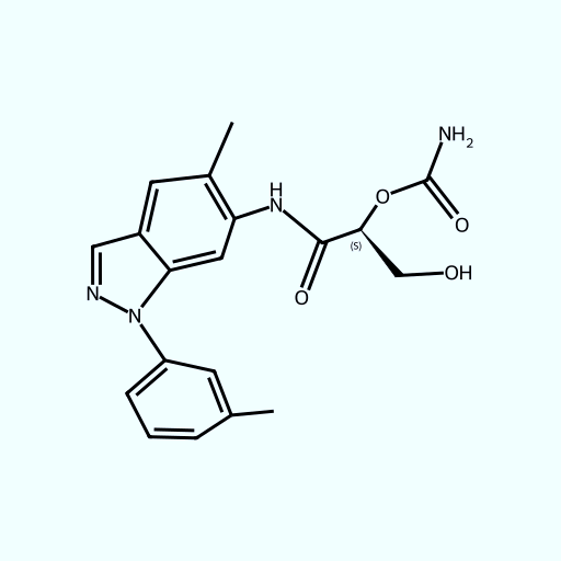 Cc1cccc(-n2ncc3cc(C)c(NC(=O)[C@H](CO)OC(N)=O)cc32)c1